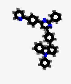 c1ccc(-c2nc(-c3ccc(-c4ccccn4)cc3)cc(-c3ccc(-c4cccc5c4c4ccccc4n5-c4ccccc4)cc3)n2)cc1